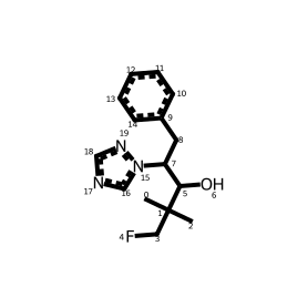 CC(C)(CF)C(O)C(Cc1ccccc1)n1cncn1